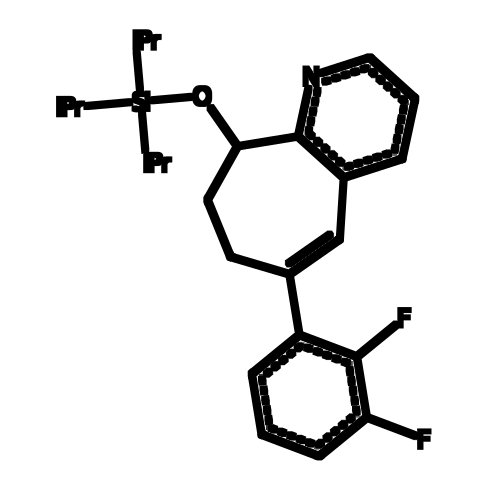 CC(C)[Si](OC1CCC(c2cccc(F)c2F)=Cc2cccnc21)(C(C)C)C(C)C